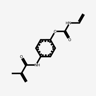 C=CNC(=O)Oc1ccc(NC(=O)C(=C)C)cc1